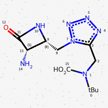 CC(C)(C)N(Cc1nnnn1C[C@H]1NC(=O)[C@H]1N)C(=O)O